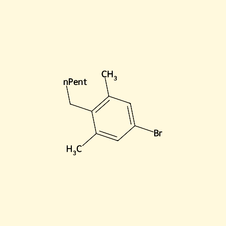 CCCCCCc1c(C)cc(Br)cc1C